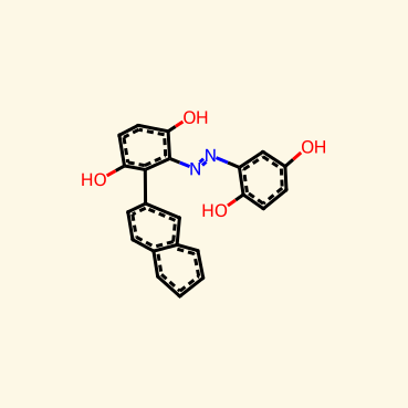 Oc1ccc(O)c(N=Nc2c(O)ccc(O)c2-c2ccc3ccccc3c2)c1